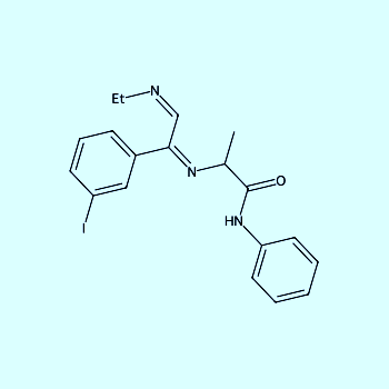 CC/N=C\C(=N/C(C)C(=O)Nc1ccccc1)c1cccc(I)c1